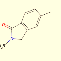 BN1Cc2cc(C)ccc2C1=O